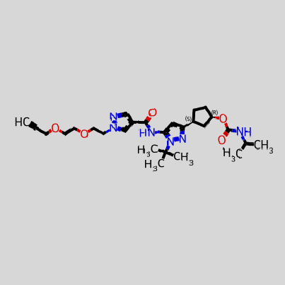 C#CCOCCOCCn1cc(C(=O)Nc2cc([C@H]3CC[C@@H](OC(=O)NC(C)C)C3)nn2C(C)(C)C)cn1